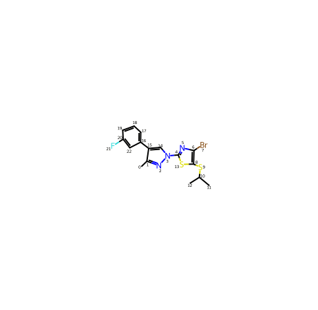 Cc1nn(-c2nc(Br)c(SC(C)C)s2)cc1-c1cccc(F)c1